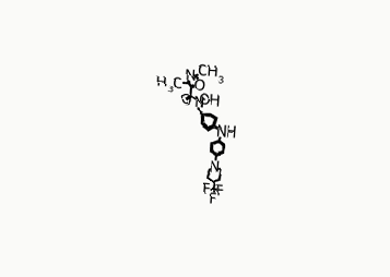 Cc1nc(C)c(C(=O)N(O)Cc2ccc(Nc3ccc(N4CCC(C(F)(F)F)CC4)cc3)cc2)o1